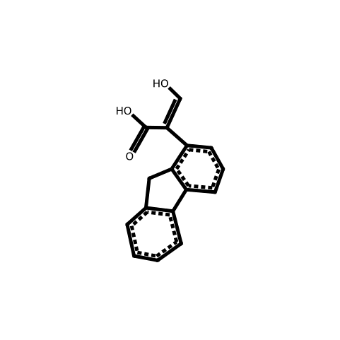 O=C(O)C(=CO)c1cccc2c1Cc1ccccc1-2